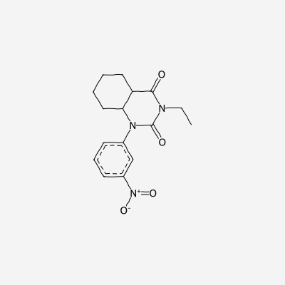 CCN1C(=O)C2CCCCC2N(c2cccc([N+](=O)[O-])c2)C1=O